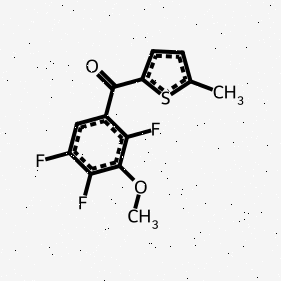 COc1c(F)c(F)cc(C(=O)c2ccc(C)s2)c1F